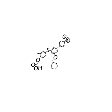 Cc1cc(Sc2cc(OCC3CCCCC3)cc(-c3ccc(S(C)(=O)=O)cc3)c2)ccc1OCC(=O)O